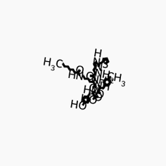 CCCCCCCC(=O)NCCCCC(NC(=O)C(N)Cc1c[nH]c(-c2cccs2)n1)C(=O)NC(Cc1ccc(C)cc1)C(=O)N[C@@H](Cc1ccc(O)cc1)C(=O)O